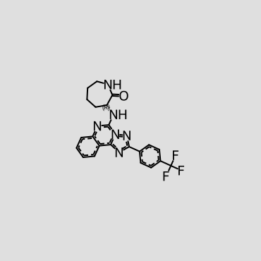 O=C1NCCCC[C@H]1Nc1nc2ccccc2c2nc(-c3ccc(C(F)(F)F)cc3)nn12